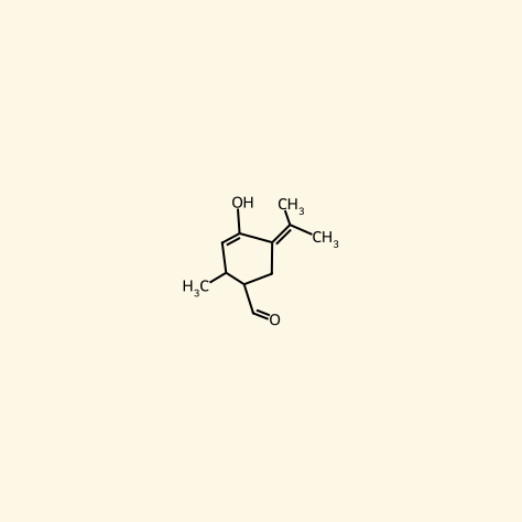 CC(C)=C1CC(C=O)C(C)C=C1O